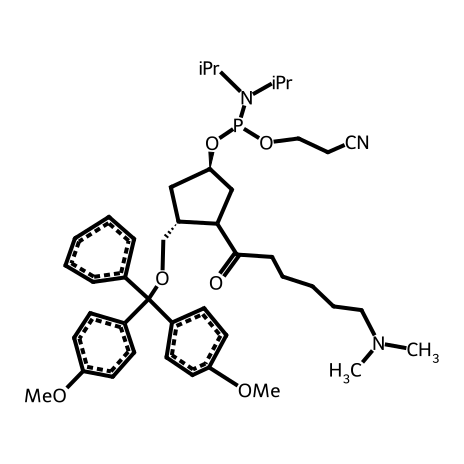 COc1ccc(C(OC[C@@H]2C[C@@H](OP(OCCC#N)N(C(C)C)C(C)C)CC2C(=O)CCCCCN(C)C)(c2ccccc2)c2ccc(OC)cc2)cc1